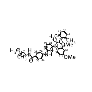 COc1ccc(N(C(=O)Oc2c(C)cccc2C)c2ccnc(Nc3ccc(C(=O)NCCN(C)C)cc3)n2)c(OC)c1